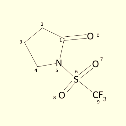 O=C1CCCN1S(=O)(=O)C(F)(F)F